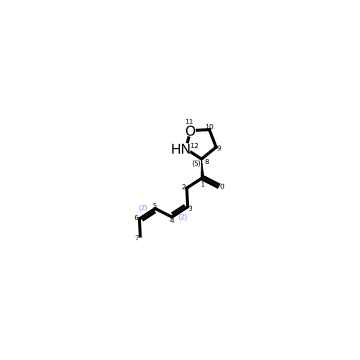 C=C(C/C=C\C=C/C)[C@@H]1CCON1